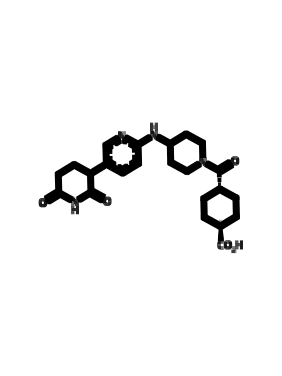 O=C1CCC(c2ccc(NC3CCN(C(=O)[C@H]4CC[C@H](C(=O)O)CC4)CC3)nc2)C(=O)N1